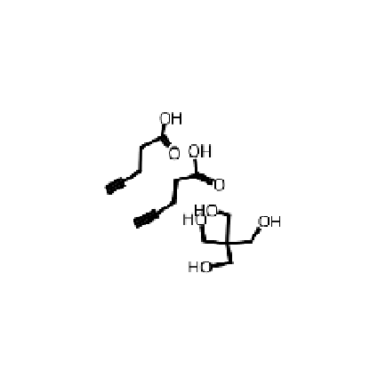 C#CCCC(=O)O.C#CCCC(=O)O.OCC(CO)(CO)CO